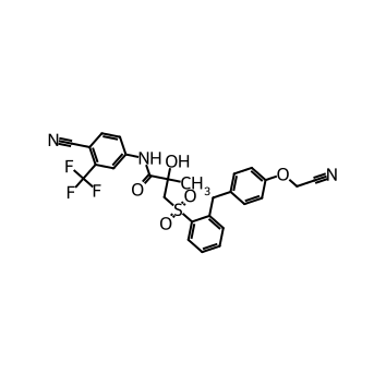 CC(O)(CS(=O)(=O)c1ccccc1Cc1ccc(OCC#N)cc1)C(=O)Nc1ccc(C#N)c(C(F)(F)F)c1